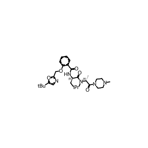 CC(C)C[C@@H](NC(=O)c1ccccc1OCc1ncc(C(C)(C)C)o1)C(=O)N(C)[C@H](C)C(=O)N1CCN(C)CC1